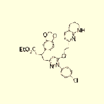 CCOC(=O)CC(Cc1cc(OCCc2ccc3c(n2)NCCC3)n(-c2ccc(Cl)cc2)n1)c1ccc2c(c1)OCO2